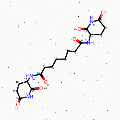 O=C1CCC(NC(=O)CCCCCCC(=O)NC2CCC(=O)NC2=O)C(=O)N1